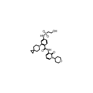 O=C(Nc1cccn(C2CCOCC2)c1=O)c1ccc(NS(=O)(=O)CCO)cc1N1CCC2(CC1)CC2